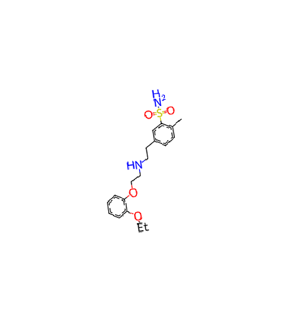 CCOc1ccccc1OCCNCCc1ccc(C)c(S(N)(=O)=O)c1